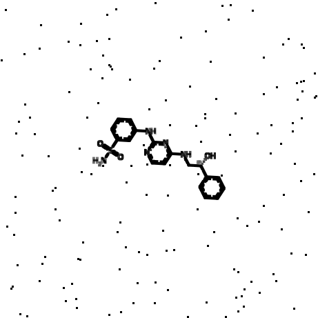 NS(=O)(=O)c1cccc(Nc2nccc(NC[C@H](O)c3ccccc3)n2)c1